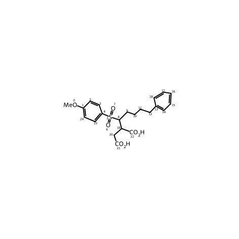 COc1ccc(S(=O)(=O)C(CCCCc2ccccc2)C(CC(=O)O)C(=O)O)cc1